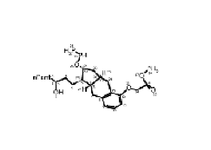 CCCCC[C@H](O)CC[C@@H]1[C@H]2Cc3cccc(OCC(=O)OP)c3C[C@H]2C[C@H]1OPP